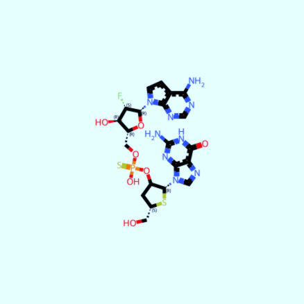 Nc1nc2c(ncn2[C@@H]2S[C@H](CO)CC2OP(O)(=S)OC[C@H]2O[C@@H](n3ccc4c(N)ncnc43)[C@@H](F)[C@@H]2O)c(=O)[nH]1